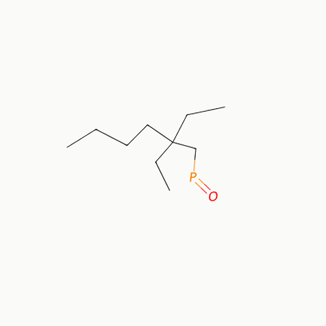 CCCCC(CC)(CC)CP=O